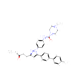 CNC(=O)CCc1cc(-c2ccc(-c3ccc(C(F)(F)F)cc3)cc2)n(-c2ccc(NC(=O)N3CCN(C)CC3)cc2)n1